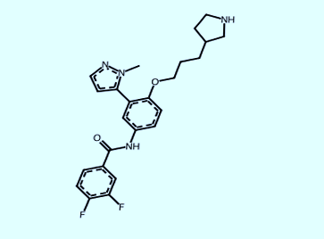 Cn1nccc1-c1cc(NC(=O)c2ccc(F)c(F)c2)ccc1OCCCC1CCNC1